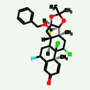 CC1(C)O[C@@H]2C[C@H]3[C@@H]4C[C@H](F)C5=CC(=O)C=C[C@]5(C)[C@@]4(Cl)[C@@H](Cl)C[C@]3(C)[C@]2(C(=S)OCc2ccccc2)O1